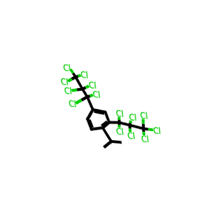 C[C](C)c1ccc(C(Cl)(Cl)C(Cl)(Cl)C(Cl)(Cl)Cl)cc1C(Cl)(Cl)C(Cl)(Cl)C(Cl)(Cl)Cl